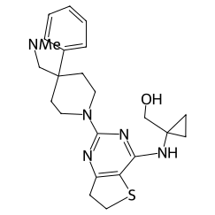 CNCC1(c2ccccc2)CCN(c2nc3c(c(NC4(CO)CC4)n2)SCC3)CC1